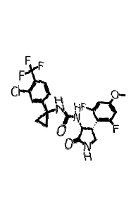 COc1cc(F)c([C@@H]2CNC(=O)[C@H]2NC(=O)NC2(c3ccc(C(F)(F)F)c(Cl)c3)CC2)c(F)c1